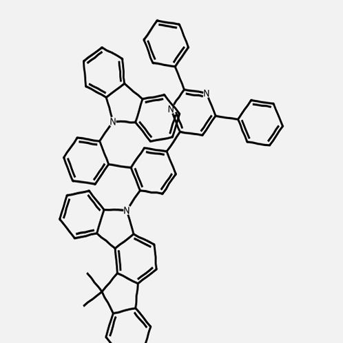 CC1(C)c2ccccc2-c2ccc3c(c21)c1ccccc1n3-c1ccc(-c2cc(-c3ccccc3)nc(-c3ccccc3)n2)cc1-c1ccccc1-n1c2ccccc2c2ccccc21